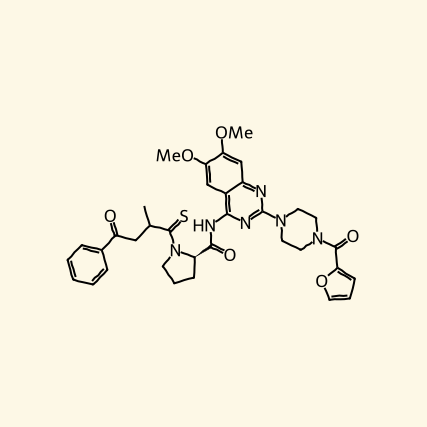 COc1cc2nc(N3CCN(C(=O)c4ccco4)CC3)nc(NC(=O)[C@H]3CCCN3C(=S)C(C)CC(=O)c3ccccc3)c2cc1OC